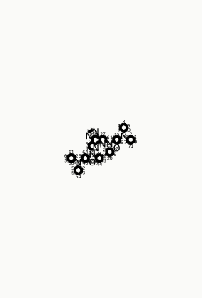 c1ccc(N(c2ccccc2)c2ccc3c(c2)Oc2ccccc2N3c2ccc3c4nccnc4c4ccc(N5c6ccccc6Oc6cc(N(c7ccccc7)c7ccccc7)ccc65)nc4c3n2)cc1